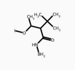 BNC(=O)C(C(C)OI)C(C)(C)C